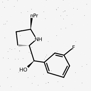 CCC[C@@H]1CC[C@@H]([C@H](O)c2cccc(F)c2)N1